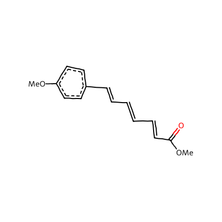 COC(=O)/C=C/C=C/C=C/c1ccc(OC)cc1